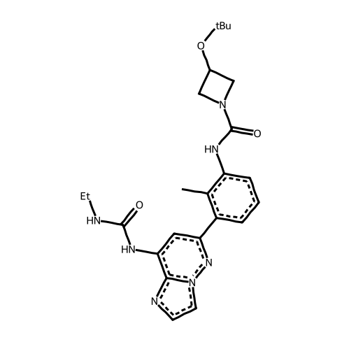 CCNC(=O)Nc1cc(-c2cccc(NC(=O)N3CC(OC(C)(C)C)C3)c2C)nn2ccnc12